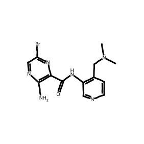 CN(C)Cc1ccncc1NC(=O)c1nc(Br)cnc1N